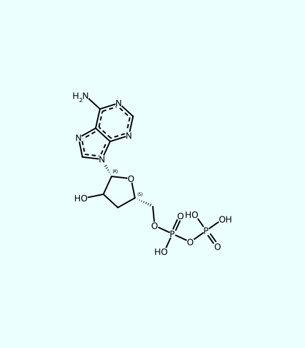 Nc1ncnc2c1ncn2[C@@H]1O[C@H](COP(=O)(O)OP(=O)(O)O)CC1O